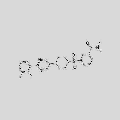 Cc1cccc(-c2ncc(C3CCN(S(=O)(=O)c4cccc(C(=O)N(C)C)c4)CC3)cn2)c1C